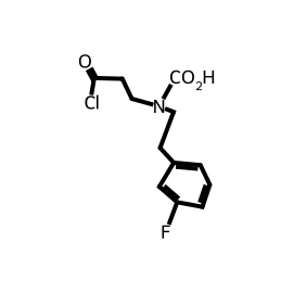 O=C(Cl)CCN(CCc1cccc(F)c1)C(=O)O